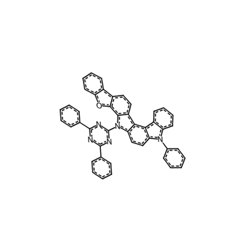 c1ccc(-c2nc(-c3ccccc3)nc(-n3c4ccc5c(c6ccccc6n5-c5ccccc5)c4c4ccc5c6ccccc6oc5c43)n2)cc1